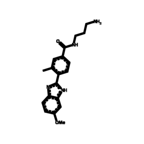 COc1ccc2nc(-c3ccc(C(=O)NCCCN)cc3C)[nH]c2c1